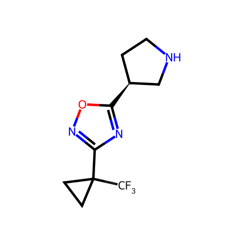 FC(F)(F)C1(c2noc([C@H]3CCNC3)n2)CC1